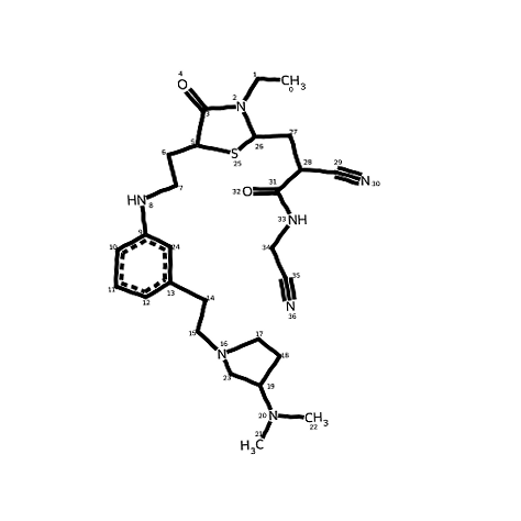 CCN1C(=O)C(CCNc2cccc(CCN3CCC(N(C)C)C3)c2)SC1CC(C#N)C(=O)NCC#N